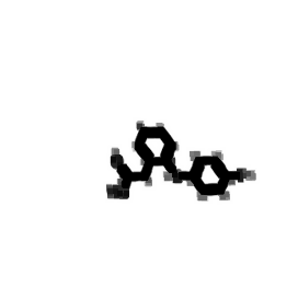 O=C(O)Cc1ccccc1Sc1ccc(F)cc1